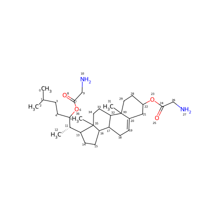 CC(C)CCC(OC(=O)CN)[C@@H](C)C1CCC2C3CC=C4CC(OC(=O)CN)CCC4(C)C3CCC21C